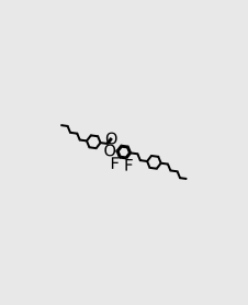 CCCCCC1CCC(CCc2ccc(OC(=O)C3CCC(CCCCC)CC3)c(F)c2F)CC1